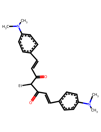 CCC(C(=O)C=Cc1ccc(N(C)C)cc1)C(=O)C=Cc1ccc(N(C)C)cc1